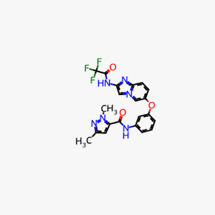 Cc1cc(C(=O)Nc2cccc(Oc3ccc4nc(NC(=O)C(F)(F)F)cn4c3)c2)n(C)n1